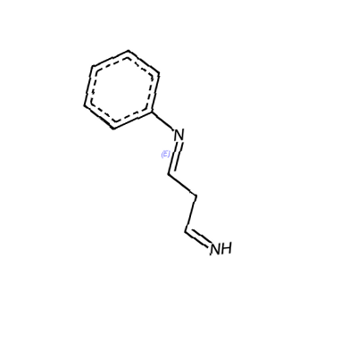 N=CC/C=N/c1ccccc1